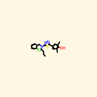 CCCCN(CC1C=CC=CC1Cl)c1nnc(-c2cc(C)c(O)c(C)c2)s1